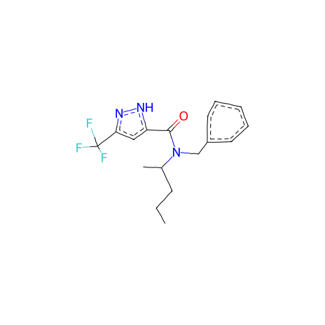 CCCC(C)N(Cc1ccccc1)C(=O)c1cc(C(F)(F)F)n[nH]1